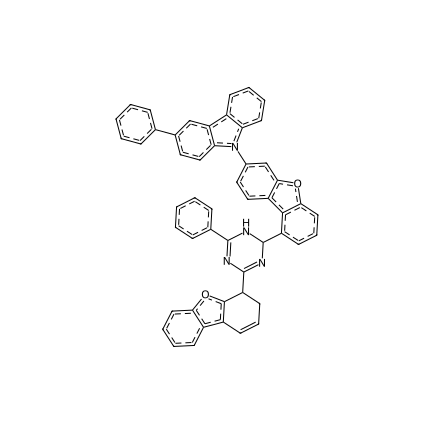 C1=Cc2c(oc3ccccc23)C(C2=NC(c3cccc4oc5cc(-n6c7ccccc7c7cc(-c8ccccc8)ccc76)ccc5c34)NC(c3ccccc3)=N2)C1